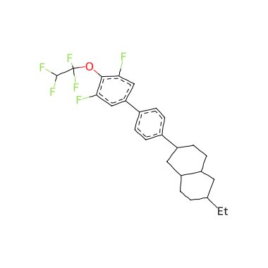 CCC1CCC2CC(c3ccc(-c4cc(F)c(OC(F)(F)C(F)F)c(F)c4)cc3)CCC2C1